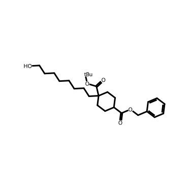 CC(C)(C)OC(=O)C1(CCCCCCCCO)CCC(C(=O)OCc2ccccc2)CC1